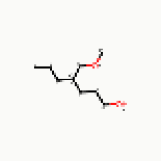 CCC[C@H](CCCO)COC